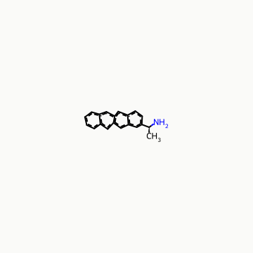 C[C@H](N)c1ccc2cc3cc4ccccc4cc3cc2c1